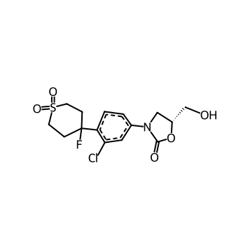 O=C1O[C@@H](CO)CN1c1ccc(C2(F)CCS(=O)(=O)CC2)c(Cl)c1